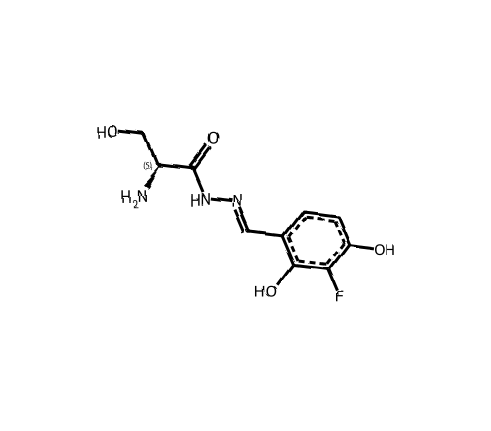 N[C@@H](CO)C(=O)NN=Cc1ccc(O)c(F)c1O